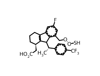 C[C@@H](c1ccc(C(F)(F)F)cc1)C1C2=C(CCC[C@@H]2CC(=O)O)c2cc(F)cc(COOS)c21